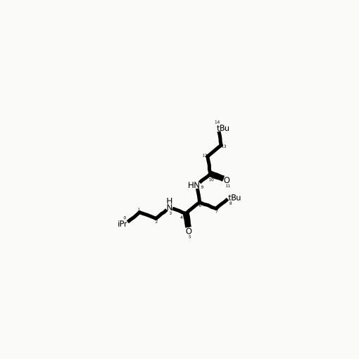 CC(C)CCNC(=O)C(CC(C)(C)C)NC(=O)CCC(C)(C)C